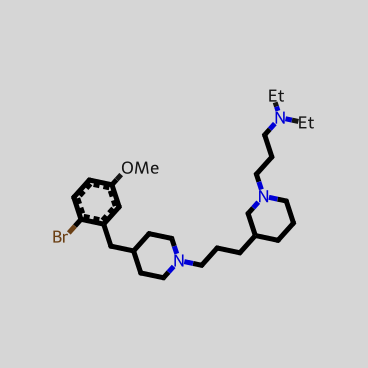 CCN(CC)CCCN1CCCC(CCCN2CCC(Cc3cc(OC)ccc3Br)CC2)C1